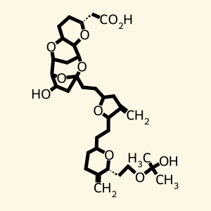 C=C1CC(CCC23CC(O)C(O2)C2CC(O3)C3O[C@@H](CC(=O)O)CCC3O2)OC1CCC1CCC(=C)[C@@H](CCOC(C)(C)O)O1